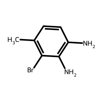 Cc1ccc(N)c(N)c1Br